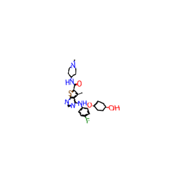 Cc1c(C(=O)NC2CCN(C)CC2)sc2ncnc(Nc3ccc(F)cc3O[C@H]3CC[C@H](O)CC3)c12